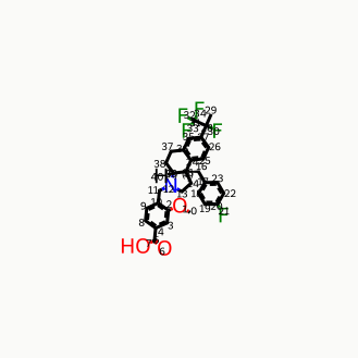 COc1cc(C(=O)O)ccc1CN1CC[C@@]2(Cc3ccc(F)cc3)c3ccc(C(C)(F)C(F)(F)F)cc3CC[C@@H]12